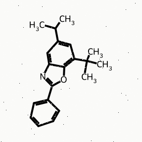 CC(C)c1cc(C(C)(C)C)c2oc(-c3ccccc3)nc2c1